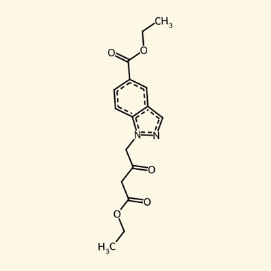 CCOC(=O)CC(=O)Cn1ncc2cc(C(=O)OCC)ccc21